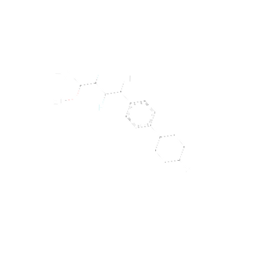 CCOC(C)C(F)C(F)C(C)c1ccc(C2CCC(C)CC2)cc1